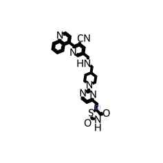 N#Cc1cc(CNCC2CCN(c3nccc(/C=C4\SC(=O)NC4=O)n3)CC2)cnc1-c1ccnc2ccccc12